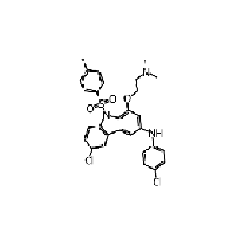 Cc1ccc(S(=O)(=O)n2c3ccc(Cl)cc3c3cc(Nc4ccc(Cl)cc4)cc(OCCN(C)C)c32)cc1